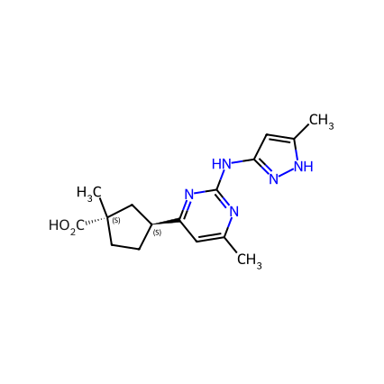 Cc1cc([C@H]2CC[C@](C)(C(=O)O)C2)nc(Nc2cc(C)[nH]n2)n1